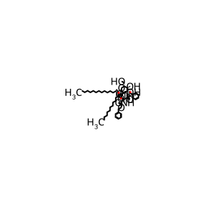 CCCCCCCCCCCCCCN(C(=O)CCCCCCCCCCC)[C@@H]1O[C@H](CO)[C@@H](O)[C@H](O)C12C(=O)C[C@H](NC(=O)OCc1ccccc1)C(=O)N2Cc1ccccc1